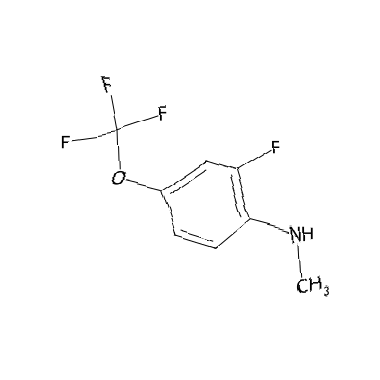 CNc1ccc(OC(F)(F)F)cc1F